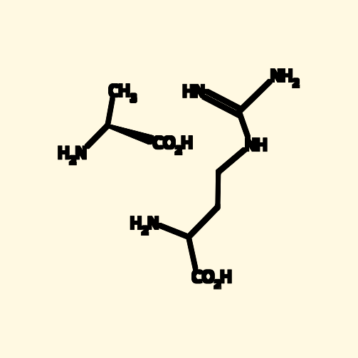 C[C@H](N)C(=O)O.N=C(N)NCCC(N)C(=O)O